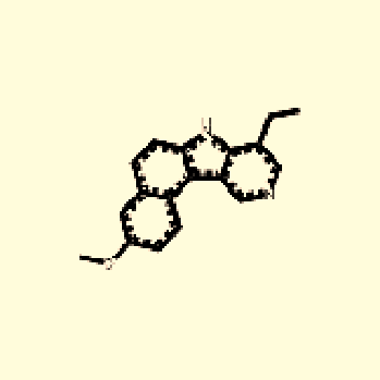 CCc1cncc2c1[nH]c1ccc3cc(OC)ccc3c12